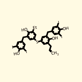 C=CCc1cc(Sc2cc(CC)c(O)c(Cc3cc(I)c(O)c(I)c3)c2)cc(Cc2cc(I)c(O)c(I)c2)c1O